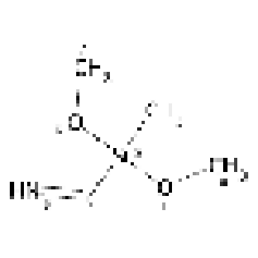 CO[Si](C)(C=N)OC